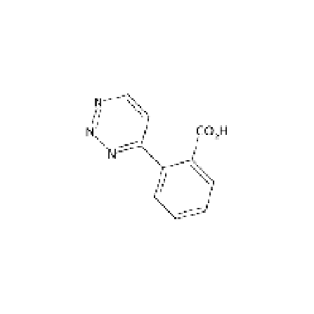 O=C(O)c1ccccc1-c1ccnnn1